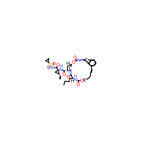 C=C[C@@H]1C[C@]1(NC(=O)[C@@H]1C[C@@H]2CN1C(=O)[C@H](CCCC)NC(=O)OCCC/C=C/c1cccc3c1CCN(C3)C(=O)O2)C(=O)NS(=O)(=O)C1CC1